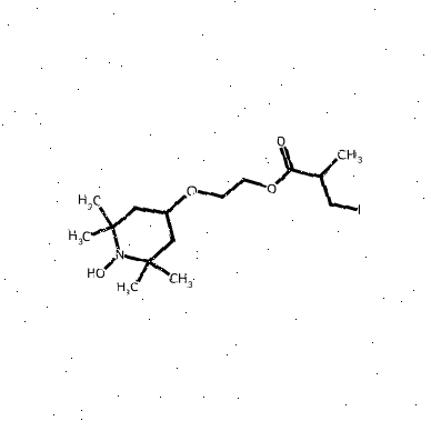 CC(CI)C(=O)OCCOC1CC(C)(C)N(O)C(C)(C)C1